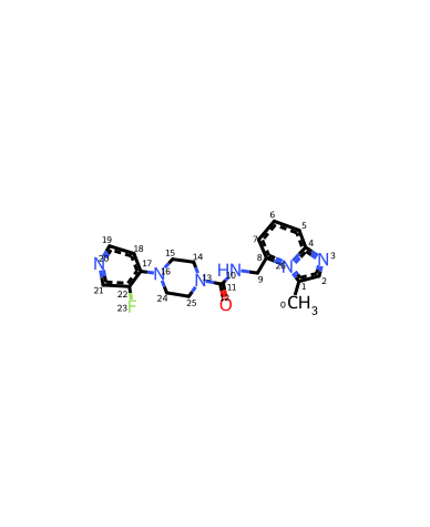 Cc1cnc2cccc(CNC(=O)N3CCN(c4ccncc4F)CC3)n12